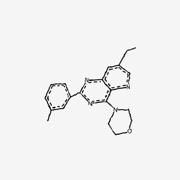 CCc1cnc2c(N3CCOCC3)nc(-c3cccc(C)c3)nc2c1